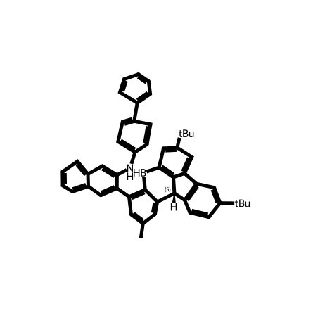 Cc1cc(-c2cc3ccccc3cc2Nc2ccc(-c3ccccc3)cc2)c2c(c1)[C@H]1c3ccc(C(C)(C)C)cc3-c3cc(C(C)(C)C)cc(c31)B2